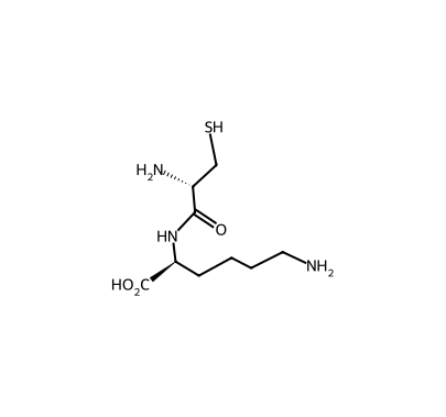 NCCCC[C@H](NC(=O)[C@H](N)CS)C(=O)O